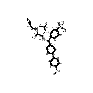 CSc1ccc(-c2ccc([C@@H](N[C@@H](CC(C)C)C(=O)NCC#N)c3ccc(S(C)(=O)=O)cc3)cc2)cc1